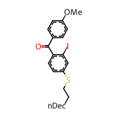 CCCCCCCCCCCCSc1ccc(C(=O)c2ccc(OC)cc2)c(I)c1